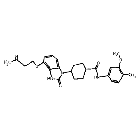 CNCCOc1cccc2c1[nH]c(=O)n2C1CCC(C(=O)Nc2ccc(C)c(OC)c2)CC1